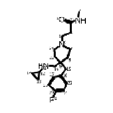 CNC(=O)CCN1CCC(CNC2CC2)(Cc2ccc(F)cc2)CC1